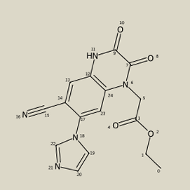 CCOC(=O)Cn1c(=O)c(=O)[nH]c2cc(C#N)c(-n3ccnc3)cc21